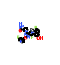 CCc1c(F)ccc2cc(O)cc(-c3ncc4c(N5CCC[C@H](C(N)=O)C5)nc(OC[C@@]56CCCN5C[C@H](F)C6)nc4c3F)c12